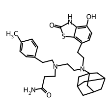 Cc1ccc(CCN(CCC(N)=O)CCN(CCc2ccc(O)c3[nH]c(=O)sc23)C23CC4CC(CC(C4)C2)C3)cc1